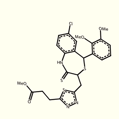 COC(=O)CCc1nnc(CC2SC(c3cccc(OC)c3OC)c3cc(Cl)ccc3NC2=S)s1